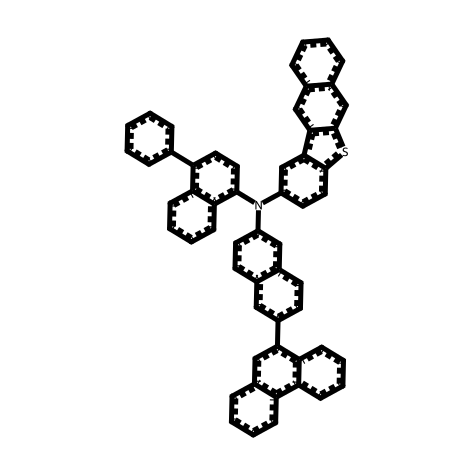 c1ccc(-c2ccc(N(c3ccc4cc(-c5cc6ccccc6c6ccccc56)ccc4c3)c3ccc4sc5cc6ccccc6cc5c4c3)c3ccccc23)cc1